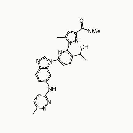 CNC(=O)c1cc(C)n(-c2nc(-n3cnc4ccc(Nc5ccc(C)nn5)cc43)ccc2C(C)O)n1